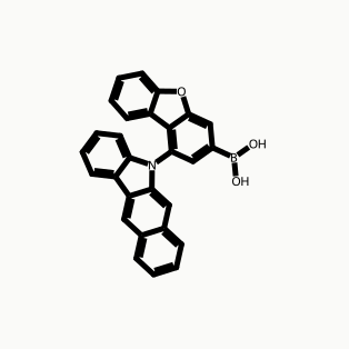 OB(O)c1cc(-n2c3ccccc3c3cc4ccccc4cc32)c2c(c1)oc1ccccc12